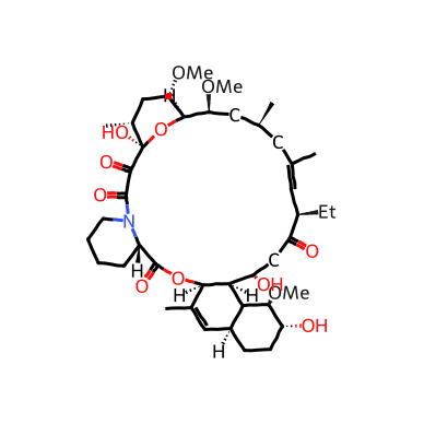 CC[C@@H]1/C=C(\C)C[C@H](C)C[C@H](OC)[C@H]2O[C@@](O)(C(=O)C(=O)N3CCCC[C@H]3C(=O)O[C@@H]3C(C)=C[C@@H]4CC[C@@H](O)[C@H](OC)C4[C@@H]3[C@@H](O)CC1=O)[C@H](C)C[C@@H]2OC